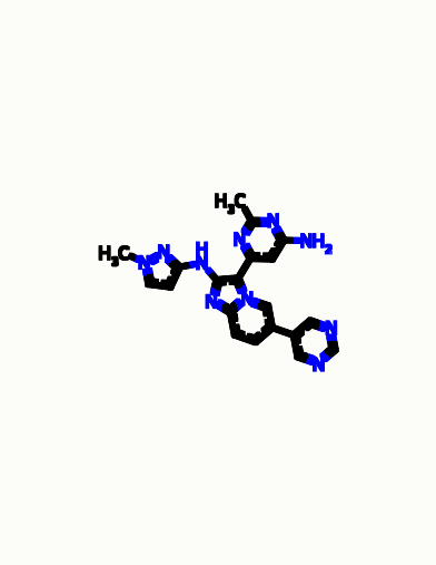 Cc1nc(N)cc(-c2c(Nc3ccn(C)n3)nc3ccc(-c4cncnc4)cn23)n1